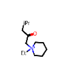 CC[N+]1(CC(=O)CC(C)C)CCCCC1